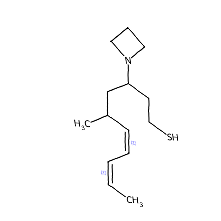 C/C=C\C=C/C(C)CC(CCS)N1CCC1